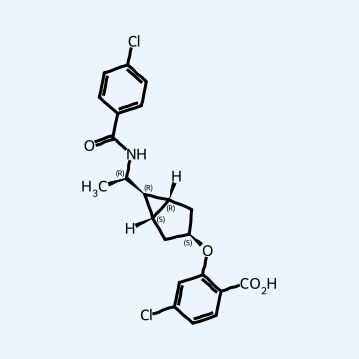 C[C@@H](NC(=O)c1ccc(Cl)cc1)[C@H]1[C@@H]2C[C@@H](Oc3cc(Cl)ccc3C(=O)O)C[C@@H]21